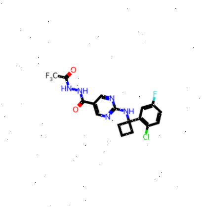 O=C(NNC(=O)C(F)(F)F)c1cnc(NC2(c3cc(F)ccc3Cl)CCC2)nc1